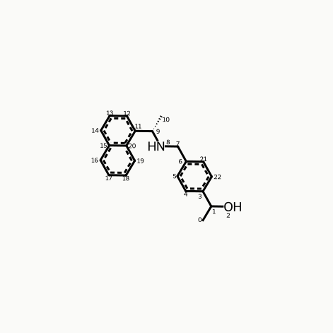 CC(O)c1ccc(CN[C@@H](C)c2cccc3ccccc23)cc1